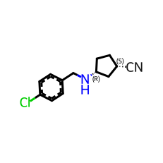 N#C[C@H]1CC[C@@H](NCc2ccc(Cl)cc2)C1